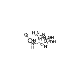 CN(CC1O[C@@H](n2cnc3c(N)ncnc32)[C@H](O)[C@@H]1O)C1CC(CCc2nc3cc(C4COC4)ccc3[nH]2)C1